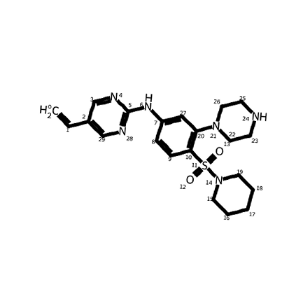 C=Cc1cnc(Nc2ccc(S(=O)(=O)N3CCCCC3)c(N3CCNCC3)c2)nc1